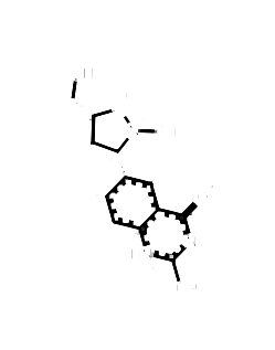 CCCCc1nc(=O)c2cc([C@@H]3C[C@H](CO)ON3C)ccc2[nH]1